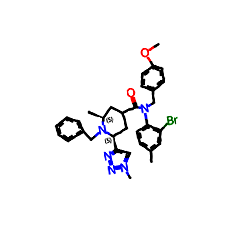 COc1ccc(CN(C(=O)C2C[C@H](C)N(Cc3ccccc3)[C@H](c3cn(C)nn3)C2)c2ccc(C)cc2Br)cc1